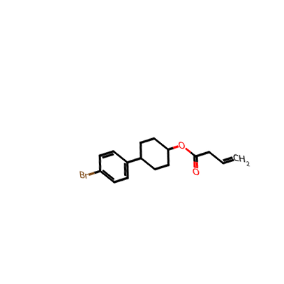 C=CCC(=O)OC1CCC(c2ccc(Br)cc2)CC1